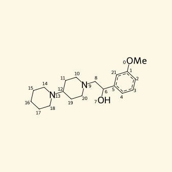 COc1cccc(C(O)CN2CCC(N3CCCCC3)CC2)c1